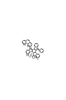 CC1(C)c2ccccc2-c2c1c1c3ccccc3n(-c3ccc4ccc5cccnc5c4n3)c1c1c3ccccc3n(-c3ccccc3)c21